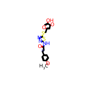 COc1ccc(/C=C/C(=O)Nc2nnc(SCc3cc(=O)c(O)co3)s2)cc1